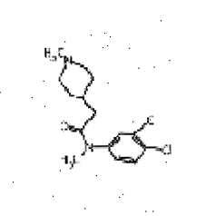 CN1CCC(CC(=O)N(C)c2ccc(Cl)c(Cl)c2)CC1